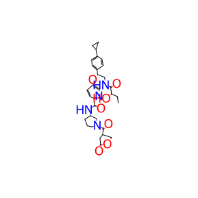 CC[C@@H](O)C(=O)N[C@@H](C)[C@H](Oc1ccc(C(=O)N[C@H]2CCCN(C(=O)[C@H]3COC(=O)C3)C2)nc1)c1ccc(C2CC2)cc1